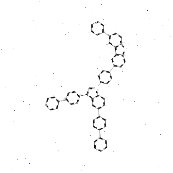 c1ccc(-c2ccc(-c3ccc4c(c3)c(-c3ccc(-c5ccccc5)cc3)cn4-c3ccc(-c4ccc5sc6ccc(-c7ccccc7)cc6c5c4)cc3)cc2)cc1